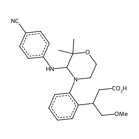 COCC(CC(=O)O)c1ccccc1N1CCOC(C)(C)C1Nc1ccc(C#N)cc1